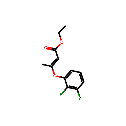 CCOC(=O)C=C(C)Oc1cccc(Cl)c1F